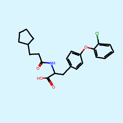 O=C(CCC1CCCC1)NC(Cc1ccc(Oc2ccccc2Cl)cc1)C(=O)O